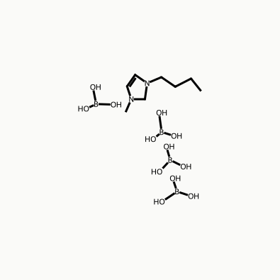 CCCCN1C=CN(C)C1.OB(O)O.OB(O)O.OB(O)O.OB(O)O